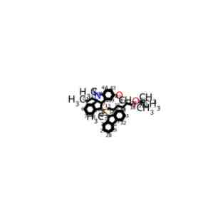 CCCC12c3ccccc3C(S(C)(CCCCCCOC(C)(C)C)C3c4ccccc4-c4ccccc43)C1c1cc(OC)ccc1N2C